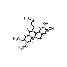 CNCCn1c(=O)c2cc(OC)c(OC)cc2c2cnc3cc(O)c(O)cc3c21